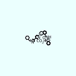 O=C(Nc1nc2ccccc2s1)c1cccc2c1CN(c1ccc(-c3cnn(CC4CCCCC4)c3)c(C(=O)O)n1)CC2